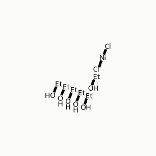 CCO.CCO.CCO.CCO.CCO.CCO.[Cl][Ni][Cl]